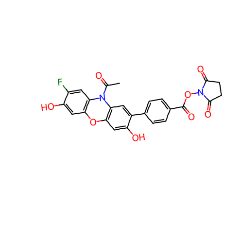 CC(=O)N1c2cc(F)c(O)cc2Oc2cc(O)c(-c3ccc(C(=O)ON4C(=O)CCC4=O)cc3)cc21